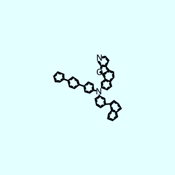 c1ccc(-c2ccc(-c3ccc(N(c4cccc(-c5cccc6ccccc56)c4)c4ccc5ccc6c7ccncc7oc6c5c4)cc3)cc2)cc1